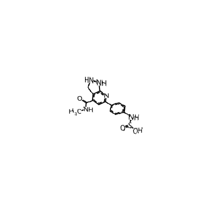 CNC(=O)c1cc(-c2ccc(NS(=O)O)cc2)nc2c1CNN2